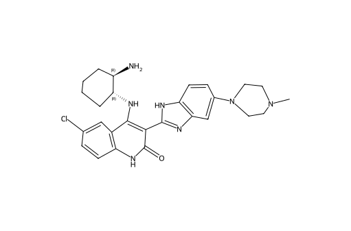 CN1CCN(c2ccc3[nH]c(-c4c(N[C@@H]5CCCC[C@H]5N)c5cc(Cl)ccc5[nH]c4=O)nc3c2)CC1